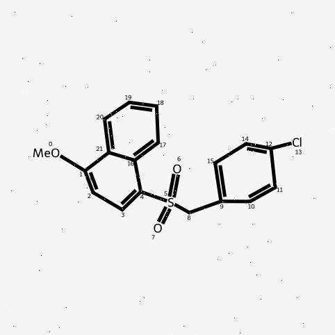 COc1ccc(S(=O)(=O)Cc2ccc(Cl)cc2)c2ccccc12